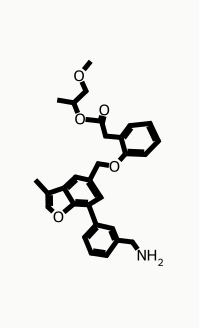 COCC(C)OC(=O)Cc1ccccc1OCc1cc(-c2cccc(CN)c2)c2occ(C)c2c1